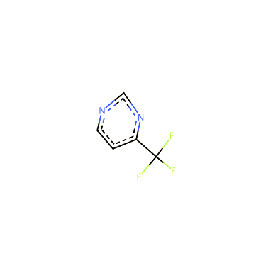 FC(F)(F)c1ccncn1